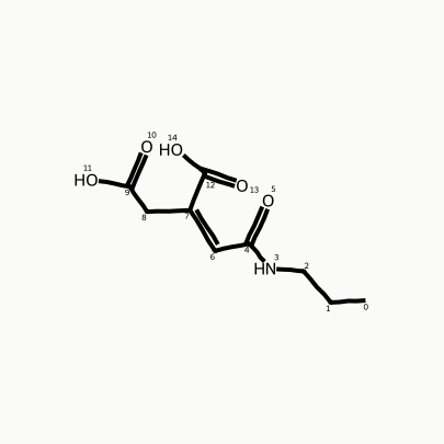 CCCNC(=O)/C=C(/CC(=O)O)C(=O)O